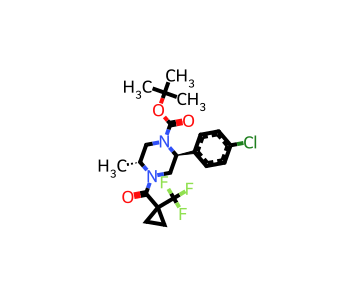 C[C@@H]1CN(C(=O)OC(C)(C)C)[C@@H](c2ccc(Cl)cc2)CN1C(=O)C1(C(F)(F)F)CC1